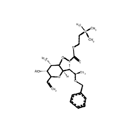 C=CC1O[C@H]2C(ON(C(=O)OCC[Si](C)(C)C)[C@@H]2[C@@H](C)OCc2ccccc2)[C@@H](C)[C@H]1O